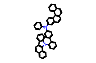 c1ccc(N(c2ccc(-c3ccccc3-n3c4ccccc4c4ccc5ccccc5c43)cc2)c2ccc3c(ccc4ccc5ccccc5c43)c2)cc1